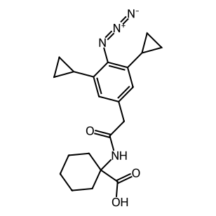 [N-]=[N+]=Nc1c(C2CC2)cc(CC(=O)NC2(C(=O)O)CCCCC2)cc1C1CC1